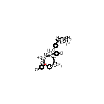 C[C@H]1C(=O)N[C@@H](CO)C(=O)N[C@@]2(Cc3ccc(Cl)cc3)CCCN(C2)C(=O)[C@H](CC(F)(F)F)CC(=O)N1Cc1ccc(Cl)cc1Oc1ccc(-c2cnc(CN(C)C)n2C)cc1